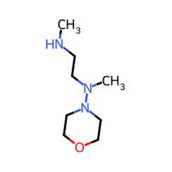 CNCCN(C)N1CCOCC1